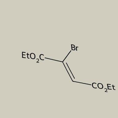 CCOC(=O)C=C(Br)C(=O)OCC